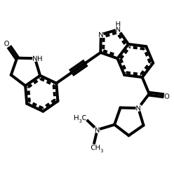 CN(C)C1CCN(C(=O)c2ccc3[nH]nc(C#Cc4cccc5c4NC(=O)C5)c3c2)C1